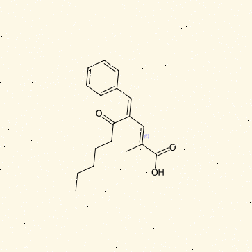 CCCCCC(=O)C(=Cc1ccccc1)/C=C(\C)C(=O)O